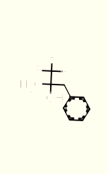 [CH2]C(O)(Cc1ccccc1)C(F)(F)F